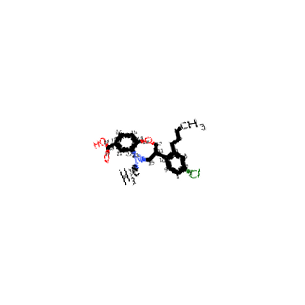 CCCCc1cc(Cl)ccc1C1COc2ccc(C(=O)O)cc2N(C)C1